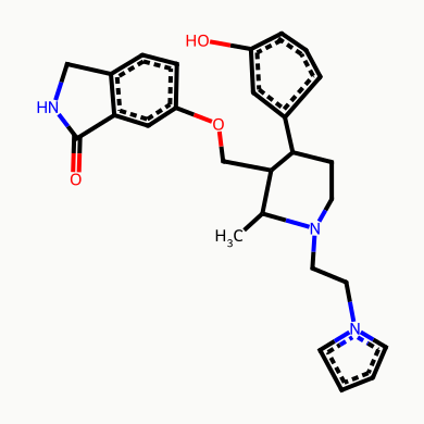 CC1C(COc2ccc3c(c2)C(=O)NC3)C(c2cccc(O)c2)CCN1CCn1cccc1